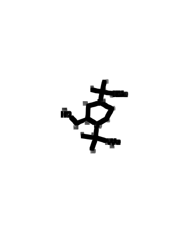 CNC(C)(C)N1CCN(C(C)(C)NC)[C@@H](CO)C1